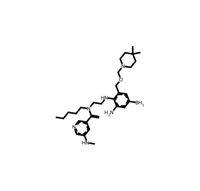 Bc1cc(N)c(NCCN(CCCCC)C(=C)c2cncc(NC)c2)c(COCN2CCC(C)(C)CC2)c1